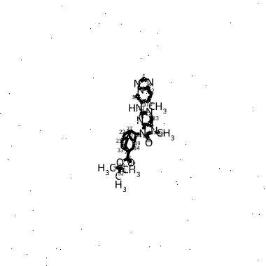 Cc1cc2ncnn2cc1Nc1ncc2c(n1)n(C1C3CC4CC1CC(C(=O)OC(C)(C)C)(C4)C3)c(=O)n2C